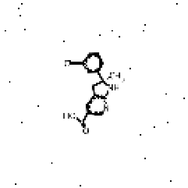 C[C@@]1(c2cccc(Cl)c2)Cc2cc(C(=O)O)cnc2N1